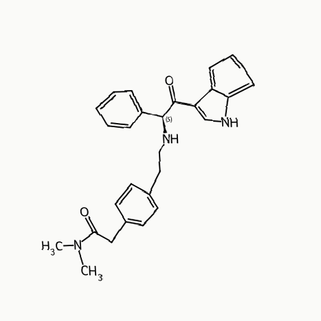 CN(C)C(=O)Cc1ccc(CCN[C@H](C(=O)c2c[nH]c3ccccc23)c2ccccc2)cc1